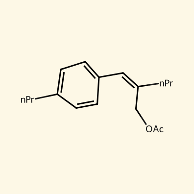 CCCC(=Cc1ccc(CCC)cc1)COC(C)=O